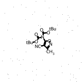 Cc1noc(N(C(=O)OC(C)(C)C)C(=O)OC(C)(C)C)c1C#N